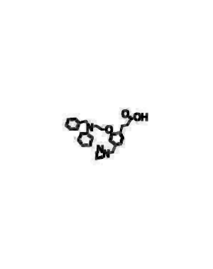 O=C(O)CCc1ccc(Cn2cccn2)cc1OCCN(Cc1ccccc1)c1ccccc1